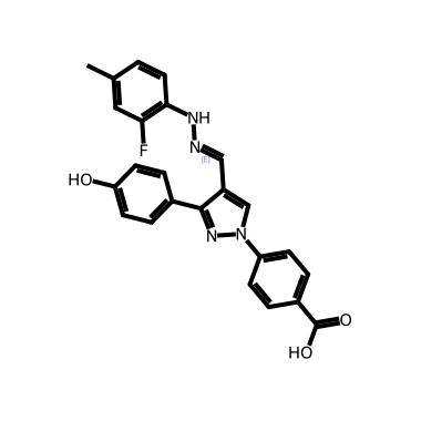 Cc1ccc(N/N=C/c2cn(-c3ccc(C(=O)O)cc3)nc2-c2ccc(O)cc2)c(F)c1